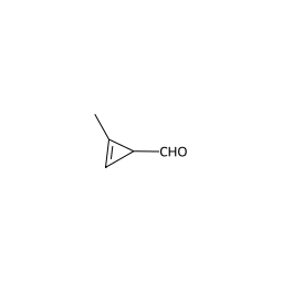 CC1=CC1C=O